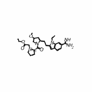 CCOC(=O)CN1CCC[C@@H]1C(=O)N1CC(OC)CC1CCc1cc2ccc(C(=N)N)cc2n1CC